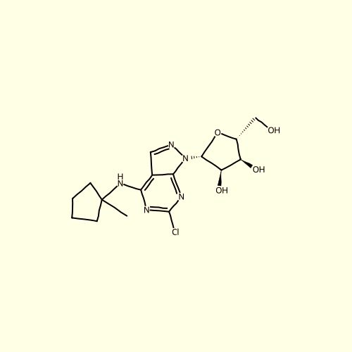 CC1(Nc2nc(Cl)nc3c2cnn3[C@@H]2O[C@H](CO)[C@@H](O)[C@H]2O)CCCC1